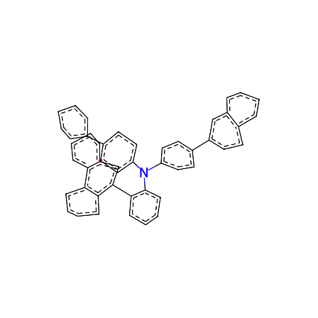 c1ccc(-c2ccc(N(c3ccc(-c4ccc5ccccc5c4)cc3)c3ccccc3-c3cc4ccccc4c4ccccc34)cc2)cc1